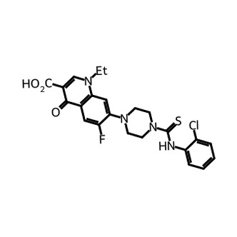 CCn1cc(C(=O)O)c(=O)c2cc(F)c(N3CCN(C(=S)Nc4ccccc4Cl)CC3)cc21